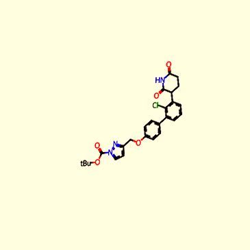 CC(C)(C)OC(=O)n1ccc(COc2ccc(-c3cccc(C4CCC(=O)NC4=O)c3Cl)cc2)n1